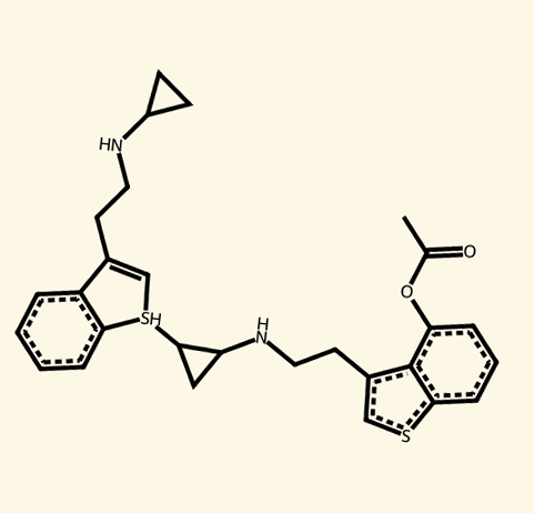 CC(=O)Oc1cccc2scc(CCNC3CC3[SH]3C=C(CCNC4CC4)c4ccccc43)c12